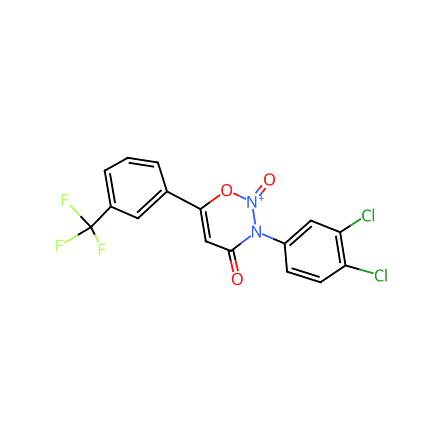 O=c1cc(-c2cccc(C(F)(F)F)c2)o[n+](=O)n1-c1ccc(Cl)c(Cl)c1